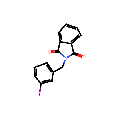 O=C1c2ccccc2C(=O)N1Cc1cccc(I)c1